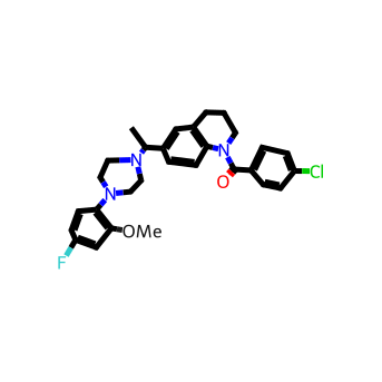 COc1cc(F)ccc1N1CCN(C(C)c2ccc3c(c2)CCCN3C(=O)c2ccc(Cl)cc2)CC1